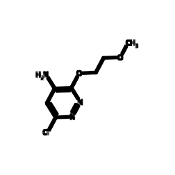 COCCOc1nnc(Cl)cc1N